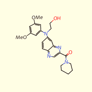 COc1cc(OC)cc(N(CCO)c2ccc3ncc(C(=O)N4CCCCC4)nc3c2)c1